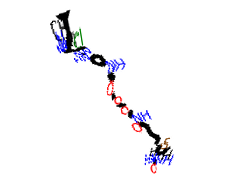 Cn1ncc(-c2nc(NC3CCC(NCCOCCOCCOCCNC(=O)CCCC[C@@H]4SC[C@@H]5NC(=O)N[C@@H]54)CC3)ncc2Cl)c1CC1CC1